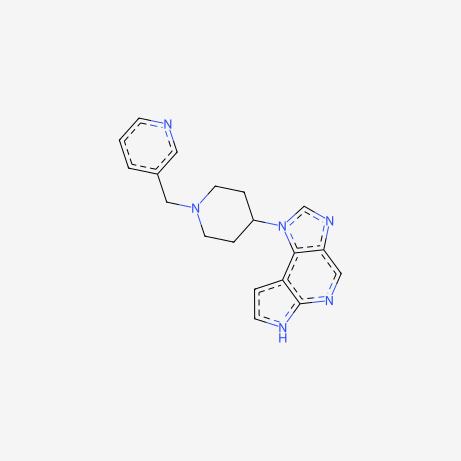 c1cncc(CN2CCC(n3cnc4cnc5[nH]ccc5c43)CC2)c1